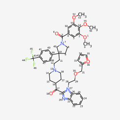 COc1cc(C(=O)N2CCC(CCN3CCC(C(=O)c4nc5ccccc5n4CCOCc4ccco4)CC3)(c3ccc(C(F)(F)F)cc3)C2)cc(OC)c1OC